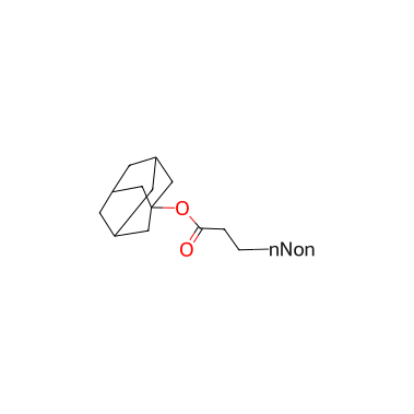 CCCCCCCCCCCC(=O)OC12CC3CC(CC(C3)C1)C2